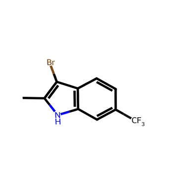 Cc1[nH]c2cc(C(F)(F)F)ccc2c1Br